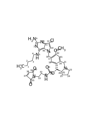 CCCCCNc1nc(N)nc2c(Cl)cn(Cc3ccc(CN4CCC[C@H]4COC(=O)NCCN4C(=O)C=CC4=O)cc3OC)c12